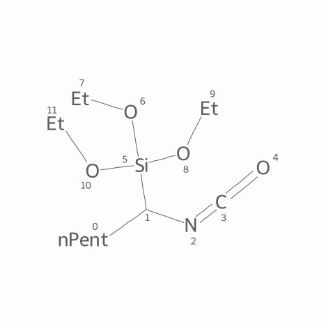 CCCCCC(N=C=O)[Si](OCC)(OCC)OCC